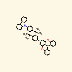 CC1(C)c2ccc(-n3c4ccccc4c4ccccc43)cc2C(C)(C)c2ccc(-c3cc4c5c(c3)Oc3ccccc3B5c3ccccc3O4)cc21